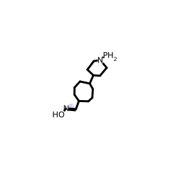 O/N=C/C1CCCC(C2CCN(P)CC2)CCC1